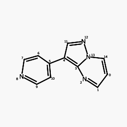 c1cnc2c(-c3ccncc3)cnn2c1